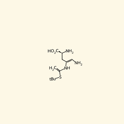 C=C(N/C(=C\N)C[C@H](N)C(=O)O)SC(C)(C)C